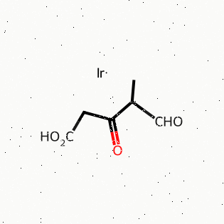 CC(C=O)C(=O)CC(=O)O.[Ir]